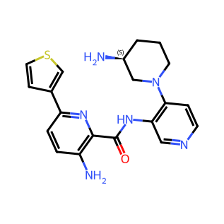 Nc1ccc(-c2ccsc2)nc1C(=O)Nc1cnccc1N1CCC[C@H](N)C1